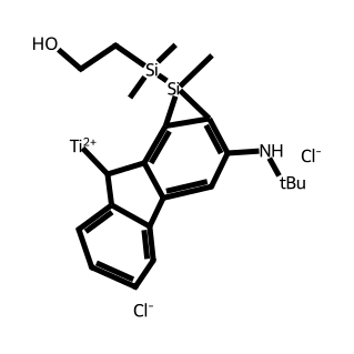 CC(C)(C)Nc1cc2c(c3c1[Si]3(C)[Si](C)(C)CCO)[CH]([Ti+2])c1ccccc1-2.[Cl-].[Cl-]